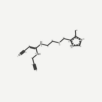 C#CCNC(=CC#N)NCCSCc1[nH]cnc1C